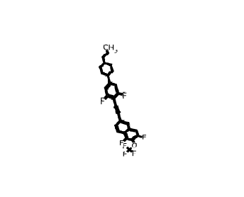 CCCC1CCC(c2cc(F)c(C#Cc3ccc4c(F)c(OC(F)(F)F)c(F)cc4c3)c(F)c2)CC1